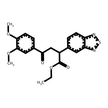 CCOC(=O)C(CC(=O)c1ccc(OC)c(OC)c1)c1ccc2nsnc2c1